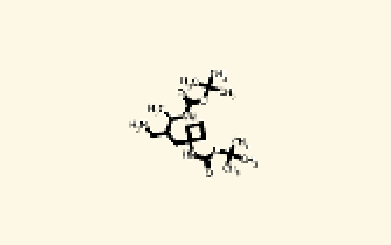 C[C@@H](NC(=O)OC(C)(C)C)C(CN)CC1(NC(=O)OC(C)(C)C)CCC1